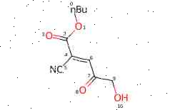 CCCCOC(=O)C(C#N)=CC(=O)CO